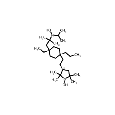 CCC[C@]1(CC[C@H]2CC(C)(C)N(O)C2(C)C)CC[C@@](CC)(CC(C)(C)N(O)C(C)C)CC1